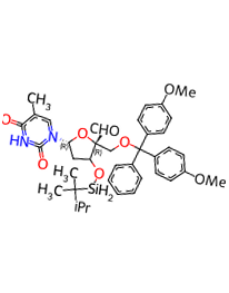 COc1ccc(C(OC[C@@]2(C=O)O[C@@H](n3cc(C)c(=O)[nH]c3=O)CC2O[SiH2]C(C)(C)C(C)C)(c2ccccc2)c2ccc(OC)cc2)cc1